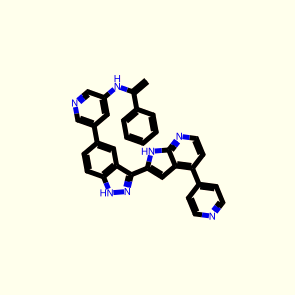 C=C(Nc1cncc(-c2ccc3[nH]nc(-c4cc5c(-c6ccncc6)ccnc5[nH]4)c3c2)c1)c1ccccc1